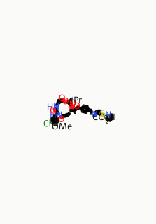 COc1ccc(C[C@H]2NC(=O)C=CC[C@@H]([C@H](C)[C@@H]3O[C@H]3c3ccc(CCN(CC(C)(C)SSc4ccccn4)C(=O)O)cc3)OC(=O)[C@H](CC(C)C)OC(=O)C(C)(C)CNC2=O)cc1Cl